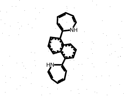 C1=CC=C(c2cccc3c(C4=CC=CC=CN4)cccc23)NC=C1